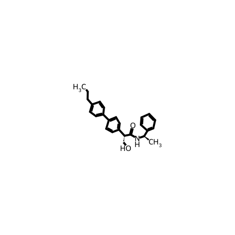 CCCc1ccc(-c2ccc([C@@H](CO)C(=O)N[C@H](C)c3ccccc3)cc2)cc1